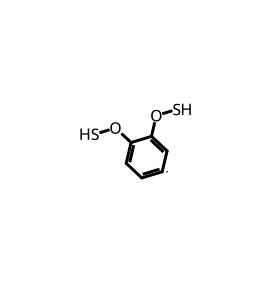 SOc1c[c]ccc1OS